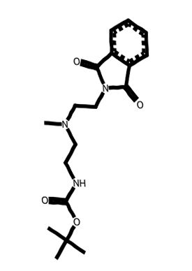 CN(CCNC(=O)OC(C)(C)C)CCN1C(=O)c2ccccc2C1=O